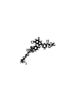 CC(C)(C)OC(=O)N[C@@H]1CCCN([C@H]2Cc3c(F)cc(Cl)cc3[C@@H]2Oc2ccc(S(=O)(=O)NCCOCCOCCN)cc2)C1